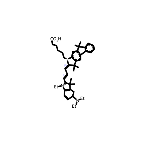 CCN(CC)C1C=CC2=C(C1)C(C)(C)C(/C=C/C=C1/N(CCCCCC(=O)O)c3cc4c(cc3C1(C)C)-c1ccccc1C4(C)C)=[N+]2CC